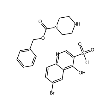 O=C(OCc1ccccc1)N1CCNCC1.O=S(=O)(Cl)c1cnc2ccc(Br)cc2c1O